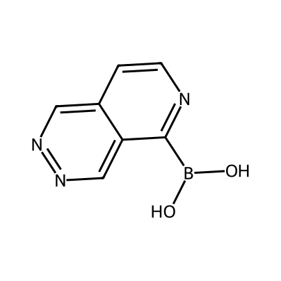 OB(O)c1nccc2cnncc12